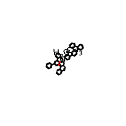 CC1(C)c2cc(-c3ccccc3-c3ccccc3)ccc2-c2ccc(N(c3ccc4c(ccc5ccccc54)c3)c3ccccc3-c3cccc(-c4ccccc4)c3)cc21